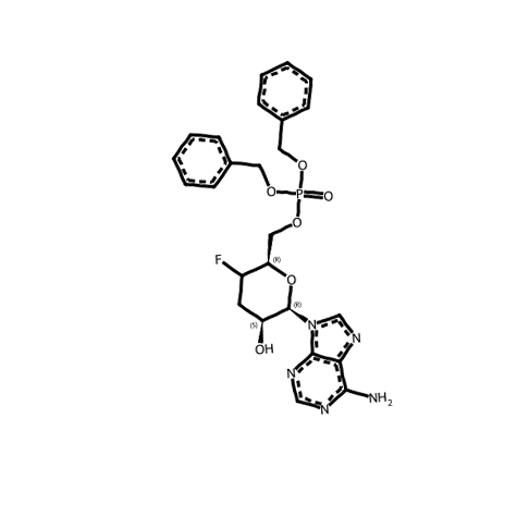 Nc1ncnc2c1ncn2[C@@H]1O[C@H](COP(=O)(OCc2ccccc2)OCc2ccccc2)C(F)C[C@@H]1O